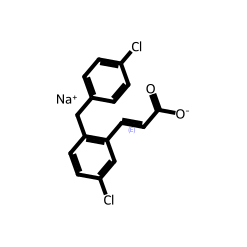 O=C([O-])/C=C/c1cc(Cl)ccc1Cc1ccc(Cl)cc1.[Na+]